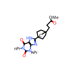 CCCn1c(=O)c2[nH]c(C34CCC(CCC(=O)OC)(CC3)CC4)nc2n(CCC)c1=O